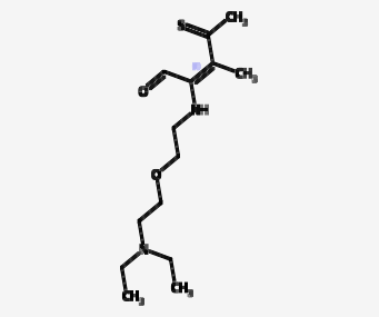 CCN(CC)CCOCCN/C(C=O)=C(\C)C(C)=S